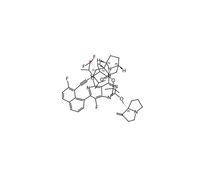 C=C1CCN2CCC[C@]12COc1nc2c3c(nc(-c4cccc5ccc(F)c(C#C[Si](C(C)C)(C(C)C)C(C)C)c45)c(F)c3n1)O[C@H](C(F)F)[C@@H]1[C@@H]3CC[C@H](CN21)N3C(=O)OC(C)(C)C